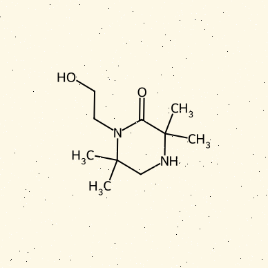 CC1(C)NCC(C)(C)N(CCO)C1=O